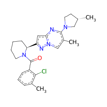 Cc1cn2nc([C@@H]3CCCCN3C(=O)c3cccc(C)c3Cl)cc2nc1N1CC[C@H](C)C1